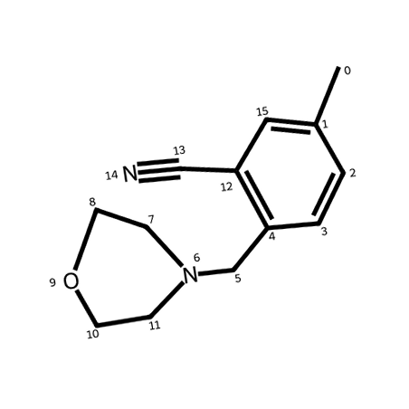 Cc1ccc(CN2CCOCC2)c(C#N)c1